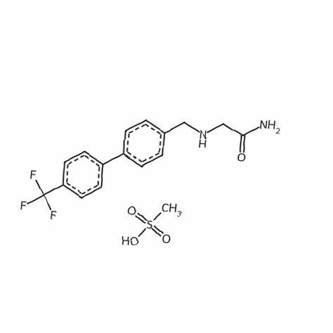 CS(=O)(=O)O.NC(=O)CNCc1ccc(-c2ccc(C(F)(F)F)cc2)cc1